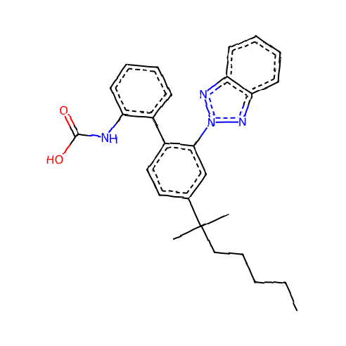 CCCCCC(C)(C)c1ccc(-c2ccccc2NC(=O)O)c(-n2nc3ccccc3n2)c1